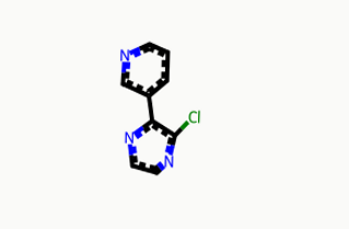 Clc1nccnc1-c1cccnc1